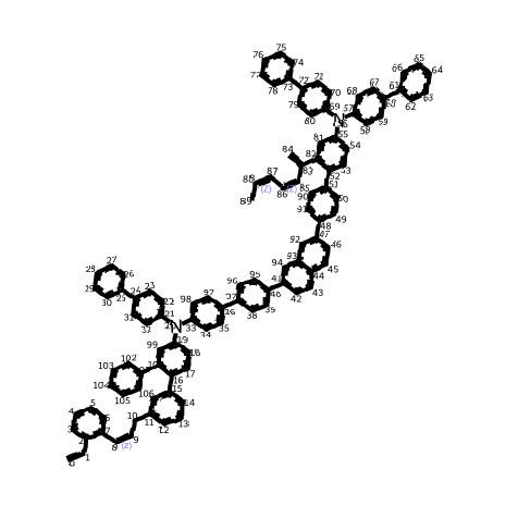 C=Cc1ccccc1/C=C\Cc1cccc(-c2ccc(N(c3ccc(-c4ccccc4)cc3)c3ccc(-c4ccc(-c5ccc6ccc(-c7ccc(-c8ccc(N(c9ccc(-c%10ccccc%10)cc9)c9ccc(-c%10ccccc%10)cc9)cc8C(=C)/C=C\C=C/C)cc7)cc6c5)cc4)cc3)cc2-c2ccccc2)c1